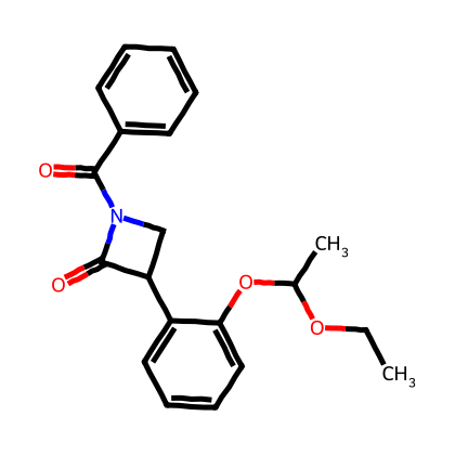 CCOC(C)Oc1ccccc1C1CN(C(=O)c2ccccc2)C1=O